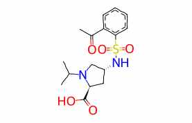 CC(=O)c1ccccc1S(=O)(=O)N[C@@H]1C[C@@H](C(=O)O)N(C(C)C)C1